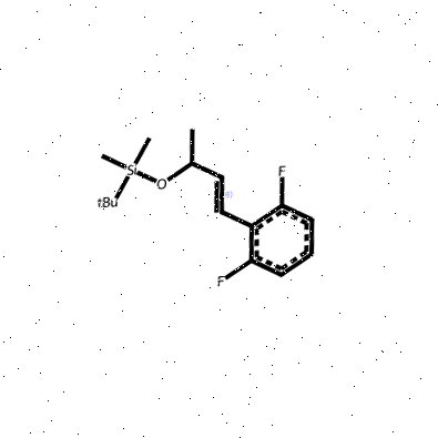 CC(/C=C/c1c(F)cccc1F)O[Si](C)(C)C(C)(C)C